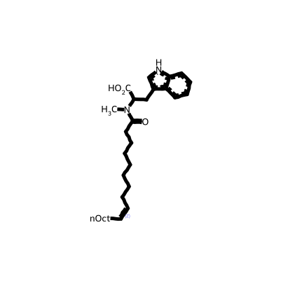 CCCCCCCC/C=C\CCCCCCCC(=O)N(C)C(Cc1c[nH]c2ccccc12)C(=O)O